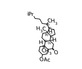 CC(=O)OC1CC[C@@]2(C)C(C1)C(=O)C[C@H]1[C@@H]3CC[C@H]([C@H](C)CCCC(C)C)[C@@]3(C)CC[C@@H]12